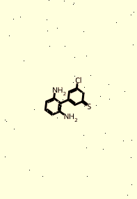 Nc1cccc(N)c1C1=CC(=S)CC(Cl)=C1